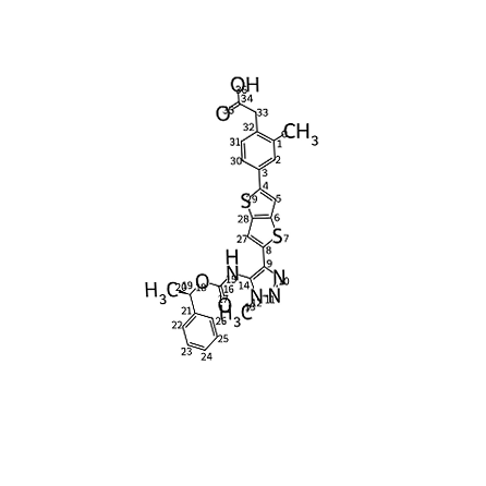 Cc1cc(-c2cc3sc(-c4nnn(C)c4NC(=O)O[C@H](C)c4ccccc4)cc3s2)ccc1CC(=O)O